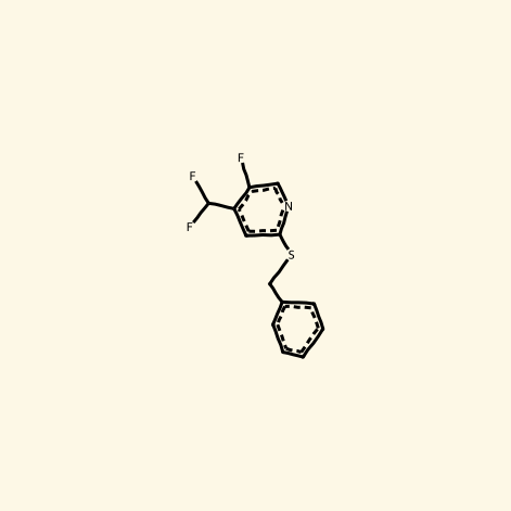 Fc1cnc(SCc2ccccc2)cc1C(F)F